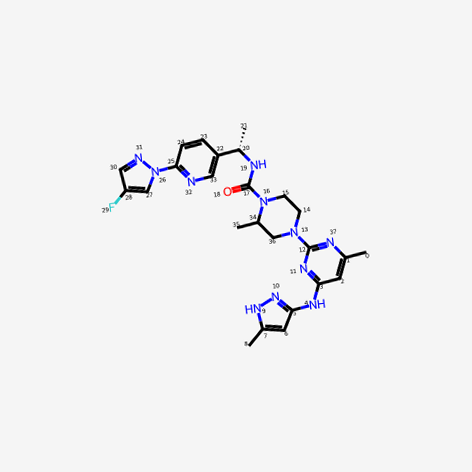 Cc1cc(Nc2cc(C)[nH]n2)nc(N2CCN(C(=O)N[C@@H](C)c3ccc(-n4cc(F)cn4)nc3)C(C)C2)n1